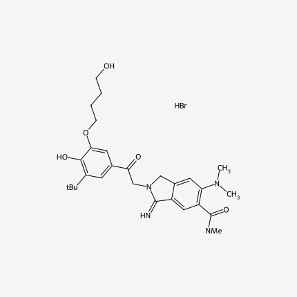 Br.CNC(=O)c1cc2c(cc1N(C)C)CN(CC(=O)c1cc(OCCCCO)c(O)c(C(C)(C)C)c1)C2=N